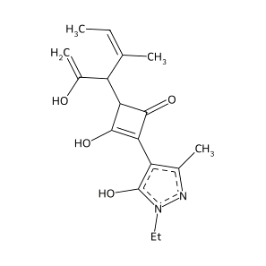 C=C(O)C(/C(C)=C\C)C1C(=O)C(c2c(C)nn(CC)c2O)=C1O